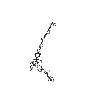 CCOC(=O)NC(C(=O)NCC(=O)NCC=CC(=O)O)C(C)(C)c1ccc(OCCOCCOCCOCCSC(C)=O)cc1